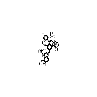 CCCc1nc2c(CO)cccc2n1Cc1ccc2c(c1)COc1cc(F)ccc1/C2=C(\C)c1noc(=O)[nH]1